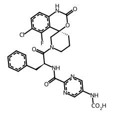 O=C(O)Nc1cnc(C(=O)N[C@@H](Cc2ccccc2)C(=O)N2CCC[C@@]3(C2)OC(=O)Nc2ccc(Cl)c(F)c23)nc1